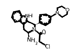 N[C@H]1Cc2c([nH]c3ccccc23)[C@H](c2ccc(N3CCOCC3)cc2)N1C(=O)CCl